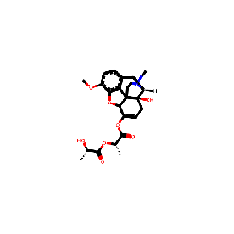 COc1ccc2c3c1OC1C(OC(=O)[C@H](C)OC(=O)[C@H](C)O)=CC[C@@]4(O)[C@@H](C2)N(C)CCC314